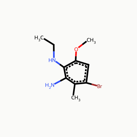 CCNc1c(OC)cc(Br)c(C)c1N